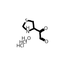 Cl.Cl.O.O=CC(=O)C1CSCN1